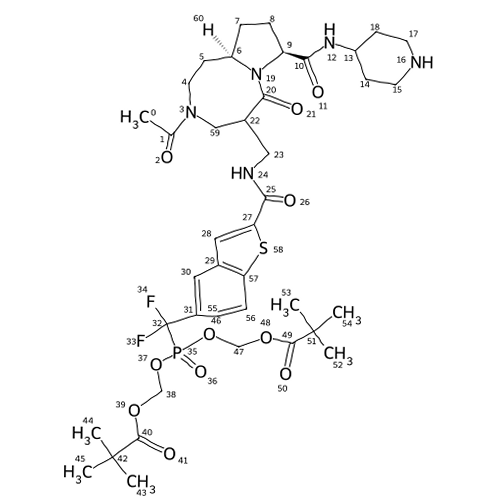 CC(=O)N1CC[C@H]2CC[C@@H](C(=O)NC3CCNCC3)N2C(=O)C(CNC(=O)c2cc3cc(C(F)(F)P(=O)(OCOC(=O)C(C)(C)C)OCOC(=O)C(C)(C)C)ccc3s2)C1